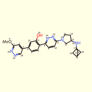 COc1cc(-c2ccc(-c3ccc(N4CCC(NC56CC(C5)C6)C4)nn3)c(O)c2)cnn1